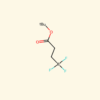 CC(C)(C)OC(=O)CC[B-](F)(F)F